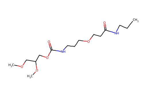 CCCNC(=O)CCOCCCNC(=O)OCC(COC)OC